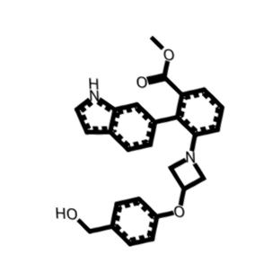 COC(=O)c1cccc(N2CC(Oc3ccc(CO)cc3)C2)c1-c1ccc2cc[nH]c2c1